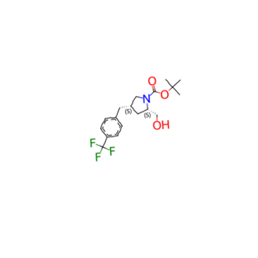 CC(C)(C)OC(=O)N1C[C@@H](Cc2ccc(C(F)(F)F)cc2)C[C@H]1CO